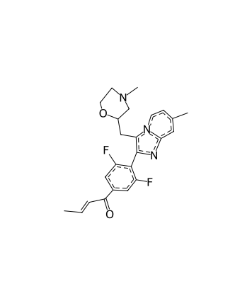 C/C=C/C(=O)c1cc(F)c(-c2nc3cc(C)ccn3c2CC2CN(C)CCO2)c(F)c1